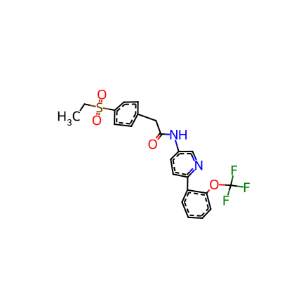 CCS(=O)(=O)c1ccc(CC(=O)Nc2ccc(-c3ccccc3OC(F)(F)F)nc2)cc1